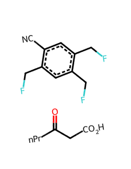 CCCC(=O)CC(=O)O.N#Cc1cc(CF)c(CF)cc1CF